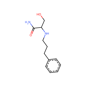 NC(=O)C(CO)NCCCc1ccccc1